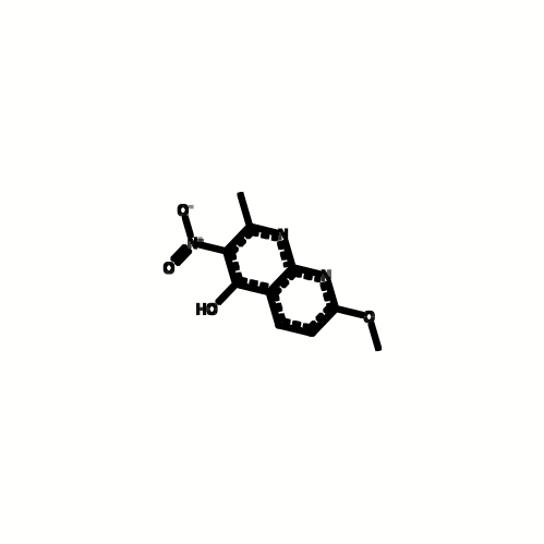 COc1ccc2c(O)c([N+](=O)[O-])c(C)nc2n1